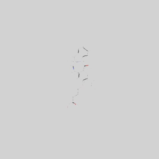 COC(=O)CCCOC1=C(OC)C[C@@H]2C(=O)N3c4ccccc4C[C@H]3C=NC2=C1